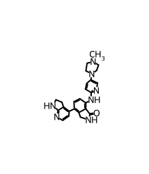 CN1CCN(c2ccc(Nc3ccc(-c4ccnc5c4CCN5)c4c3C(=O)NC4)nc2)CC1